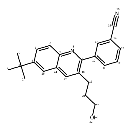 CC(C)(C)c1ccc2nc(-c3cccc(C#N)c3)c(CCCO)cc2c1